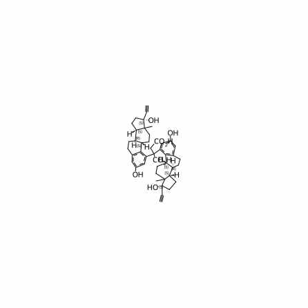 C#C[C@]1(O)CC[C@H]2[C@@H]3CCc4cc(O)cc(C(CC(=O)O)(C(=O)O)c5cc(O)cc6c5[C@H]5CCC7(C)[C@@H](CC[C@@]7(O)C#C)[C@@H]5CC6)c4[C@H]3CCC21C